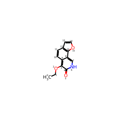 CCOc1c(=O)[nH]cc2c1ccc1ccoc12